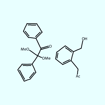 CC(=O)Cc1ccccc1CO.COC(OC)(C(=O)c1ccccc1)c1ccccc1